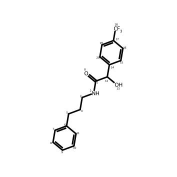 O=C(NCCCc1ccccc1)C(O)c1ccc(C(F)(F)F)cc1